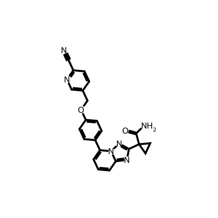 N#Cc1ccc(COc2ccc(-c3cccc4nc(C5(C(N)=O)CC5)nn34)cc2)cn1